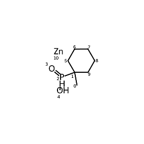 CC1([PH](=O)O)CCCCC1.[Zn]